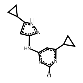 Clc1nc(Nc2cc(C3CC3)[nH]n2)cc(C2CC2)n1